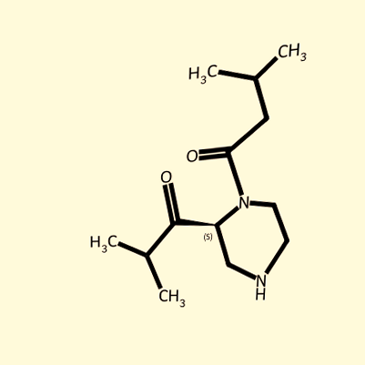 CC(C)CC(=O)N1CCNC[C@H]1C(=O)C(C)C